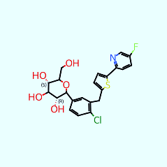 OCC1OC(c2ccc(Cl)c(Cc3ccc(-c4ccc(F)cn4)s3)c2)[C@H](O)C(O)[C@@H]1O